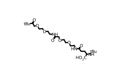 CC(C)(C)NC(CCC(=O)NCCOCCOCC(=O)NCCOCCOCC(=O)C(C)(C)C)C(=O)O